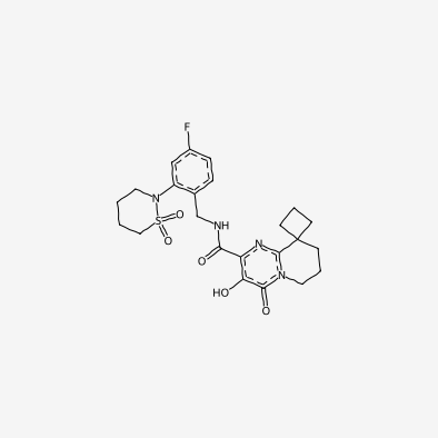 O=C(NCc1ccc(F)cc1N1CCCCS1(=O)=O)c1nc2n(c(=O)c1O)CCCC21CCC1